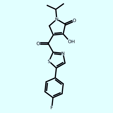 CC(C)N1CC(C(=O)c2ncc(-c3ccc(F)cc3)s2)=C(O)C1=O